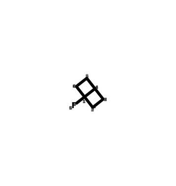 FC12[CH]CC1[CH]C2